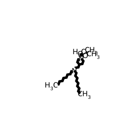 CCCCCCCCCN(CCCCCCCCC)CCC1CCN(C(=O)OC(C)(C)C)CC1